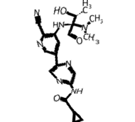 C[C@@H](O)[C@](C=O)(Nc1cc(-c2cnc(NC(=O)C3CC3)cn2)cnc1C#N)N(C)C